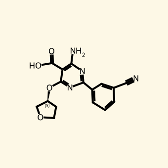 N#Cc1cccc(-c2nc(N)c(C(=O)O)c(O[C@H]3CCOC3)n2)c1